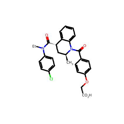 CCN(C(=O)[C@H]1C[C@H](C)N(C(=O)c2ccc(OCC(=O)O)cc2)c2ccccc21)c1ccc(Cl)cc1